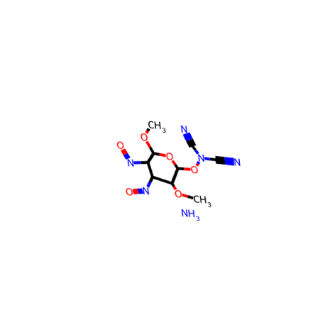 COC1OC(ON(C#N)C#N)C(OC)C(N=O)C1N=O.N